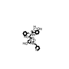 Cc1c(O)cccc1C(=O)N[C@@H](Cc1ccccc1)[C@H](O)C(=O)N1C[C@H](O)C[C@H]1C(=O)NCc1cccnc1